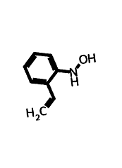 C=Cc1ccccc1NO